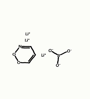 C1=COON=C1.[Li+].[Li+].[Li+].[O-]B([O-])[O-]